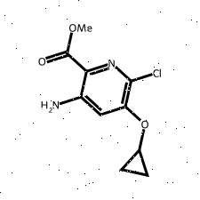 COC(=O)c1nc(Cl)c(OC2CC2)cc1N